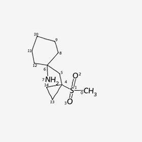 CS(=O)(=O)C1(CC2(N)CCCCC2)CC1